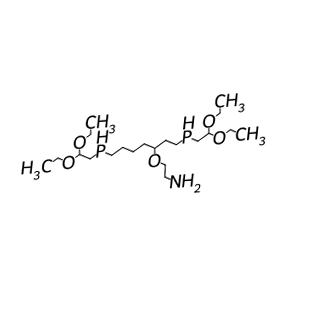 CCOC(CPCCCCC(CCPCC(OCC)OCC)OCCN)OCC